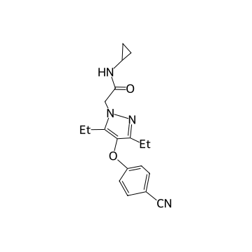 CCc1nn(CC(=O)NC2CC2)c(CC)c1Oc1ccc(C#N)cc1